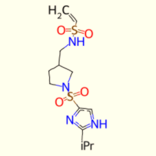 C=CS(=O)(=O)NCC1CCN(S(=O)(=O)c2c[nH]c(C(C)C)n2)C1